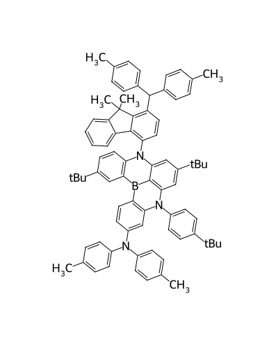 Cc1ccc(C(c2ccc(C)cc2)c2ccc(N3c4ccc(C(C)(C)C)cc4B4c5ccc(N(c6ccc(C)cc6)c6ccc(C)cc6)cc5N(c5ccc(C(C)(C)C)cc5)c5cc(C(C)(C)C)cc3c54)c3c2C(C)(C)c2ccccc2-3)cc1